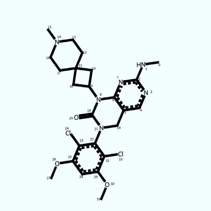 CNc1ncc2c(n1)N(C1CC3(CCN(C)CC3)C1)C(=O)N(c1c(Cl)c(OC)cc(OC)c1Cl)C2